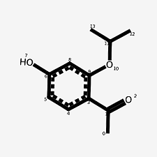 CC(=O)c1ccc(O)cc1OC(C)C